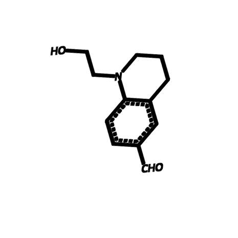 O=Cc1ccc2c(c1)CCCN2CCO